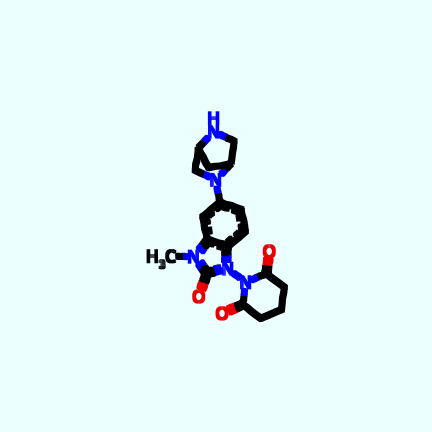 Cn1c(=O)n(N2C(=O)CCCC2=O)c2ccc(N3CC4CC3CN4)cc21